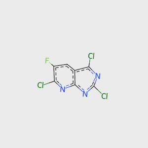 Fc1cc2c(Cl)nc(Cl)nc2nc1Cl